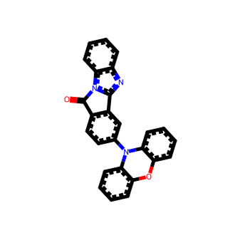 O=C1c2ccc(N3c4ccccc4Oc4ccccc43)cc2-c2nc3ccccc3n21